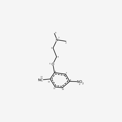 CN(C)CCOc1cc([N+](=O)[O-])ccc1C#N